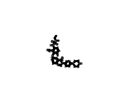 CCN(C)S(=O)(=O)Nc1ccc(F)c(Oc2ccc3ncn(-c4ccc(N5CCNCC5)nc4)c(=O)c3c2)c1C#N